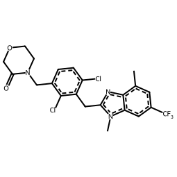 Cc1cc(C(F)(F)F)cc2c1nc(Cc1c(Cl)ccc(CN3CCOCC3=O)c1Cl)n2C